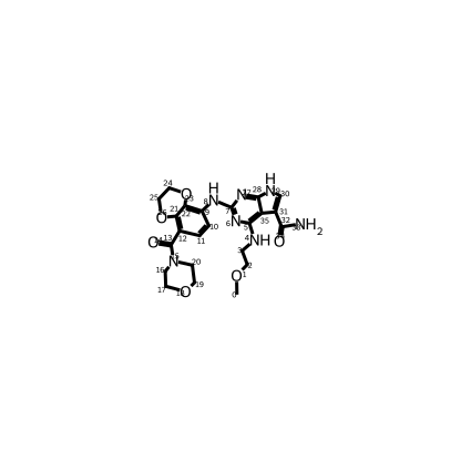 COCCNc1nc(Nc2ccc(C(=O)N3CCOCC3)c3c2OCCO3)nc2[nH]cc(C(N)=O)c12